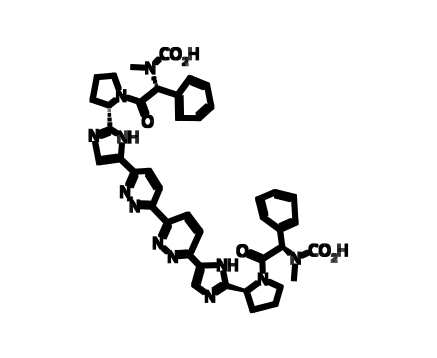 CN(C(=O)O)[C@@H](C(=O)N1CCC[C@H]1c1ncc(-c2ccc(-c3ccc(-c4cnc([C@@H]5CCCN5C(=O)[C@@H](c5ccccc5)N(C)C(=O)O)[nH]4)nn3)nn2)[nH]1)c1ccccc1